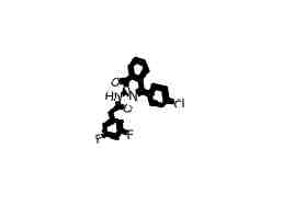 O=C(Cc1cc(F)cc(F)c1)Nn1nc(-c2ccc(Cl)cc2)c2ccccc2c1=O